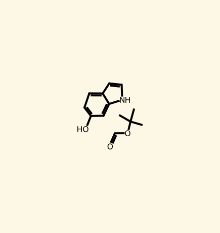 CC(C)(C)OC=O.Oc1ccc2cc[nH]c2c1